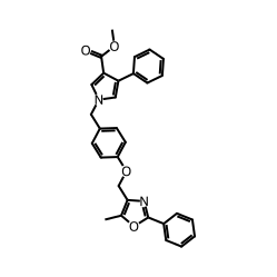 COC(=O)c1cn(Cc2ccc(OCc3nc(-c4ccccc4)oc3C)cc2)cc1-c1ccccc1